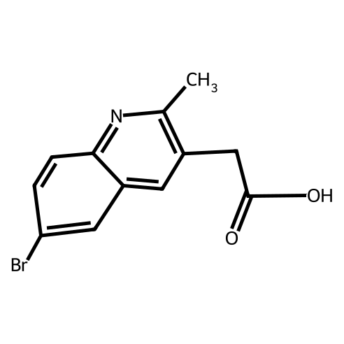 Cc1nc2ccc(Br)cc2cc1CC(=O)O